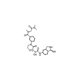 CN(C)C(=O)CN(C)C(=O)c1cccc(N2CCO[C@H]([C@@H](O)C(=O)Nc3ccc4c(c3)CNC4=N)C2=O)c1